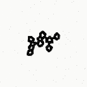 c1ccc(-c2nc(-c3ccccc3)nc(-c3cccc4oc5c(-n6c7ccccc7c7cc8ccccc8cc76)cccc5c34)n2)cc1